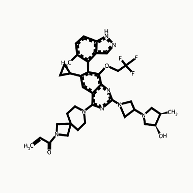 C=CC(=O)N1CC2(CCN(c3nc(N4CC(N5C[C@@H](C)[C@@H](O)C5)C4)nc4c(OCC(F)(F)F)c(-c5c(C)ccc6[nH]ncc56)c(C5CC5)cc34)CC2)C1